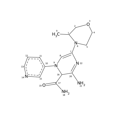 CC1COCCN1C1=CN(c2cccnc2)C(C(N)=O)C(N)=N1